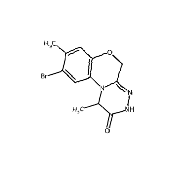 Cc1cc2c(cc1Br)N1C(=NNC(=O)C1C)CO2